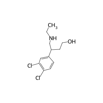 CCNCC(CCO)c1ccc(Cl)c(Cl)c1